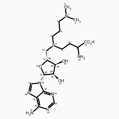 CN(C)CCCN(CCC(N)C(=O)O)C[C@H]1O[C@@H](n2cnc3c(N)ncnc32)[C@H](O)[C@@H]1O